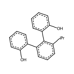 CC(C)c1cccc(-c2ccccc2O)c1-c1ccccc1O